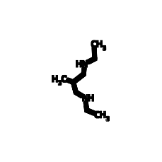 CCNCC(C)CNCC